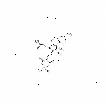 CC1(C)OC(=O)C(=C/C=C2\N(CCC(N)=O)C3=C(c4ccc([N+](=O)[O-])cc4CC3)C2(C)C)C(=O)O1